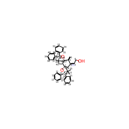 C=C1/C(=C\CO)C[C@H](O[Si](c2ccccc2)(c2ccccc2)C(C)(C)C)C[C@@H]1O[Si](c1ccccc1)(c1ccccc1)C(C)(C)C